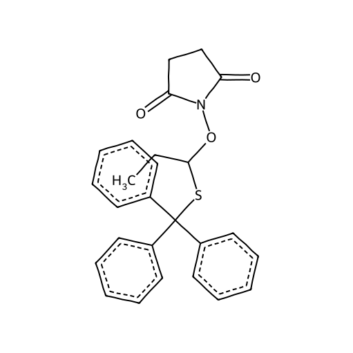 CCC(ON1C(=O)CCC1=O)SC(c1ccccc1)(c1ccccc1)c1ccccc1